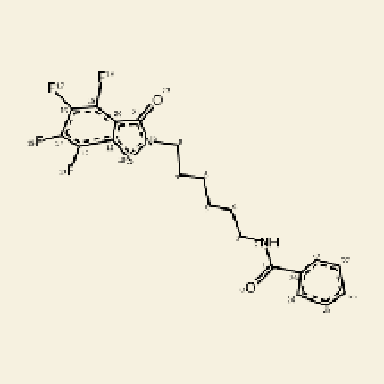 O=C(NCCCCCCn1sc2c(F)c(F)c(F)c(F)c2c1=O)c1ccccc1